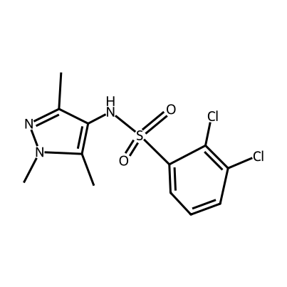 Cc1nn(C)c(C)c1NS(=O)(=O)c1cccc(Cl)c1Cl